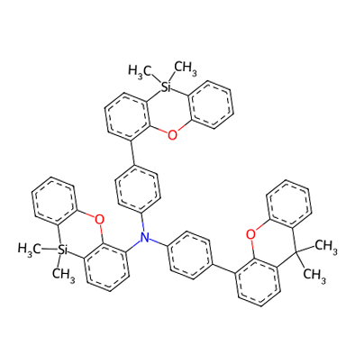 CC1(C)c2ccccc2Oc2c(-c3ccc(N(c4ccc(-c5cccc6c5Oc5ccccc5[Si]6(C)C)cc4)c4cccc5c4Oc4ccccc4[Si]5(C)C)cc3)cccc21